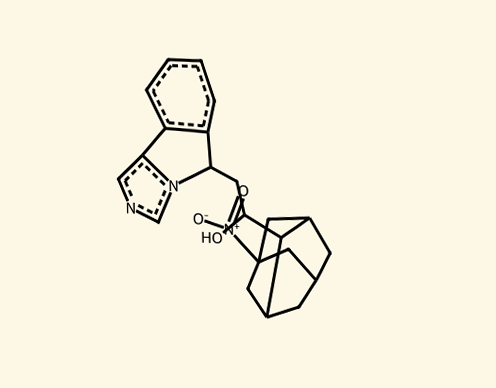 O=[N+]([O-])C12CC3CC(C1)C(C(O)CC1c4ccccc4-c4cncn41)C(C3)C2